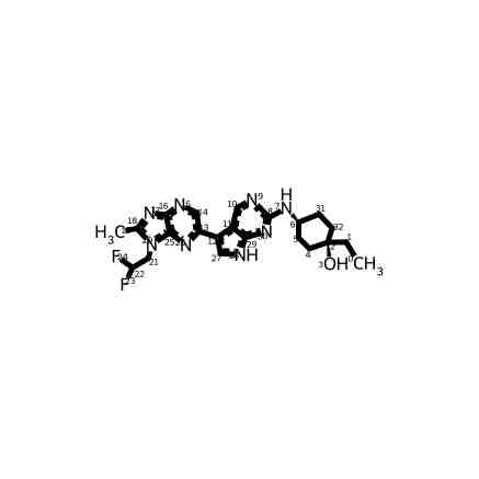 CC[C@]1(O)CC[C@@H](Nc2ncc3c(-c4cnc5nc(C)n(CC(F)F)c5n4)c[nH]c3n2)CC1